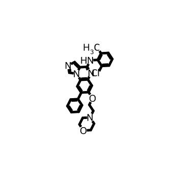 Cc1cccc(Cl)c1Nc1nc2cc(OCCN3CCOCC3)c(-c3ccccc3)cc2n2cncc12